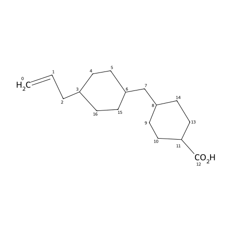 C=CCC1CCC(CC2CCC(C(=O)O)CC2)CC1